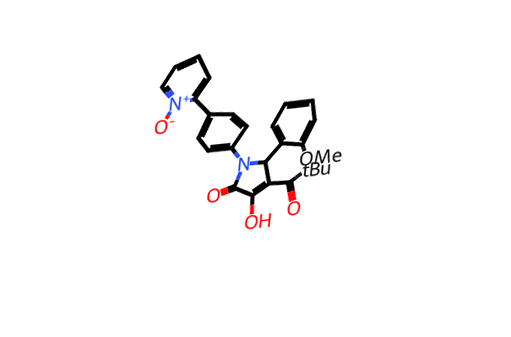 COc1ccccc1C1C(C(=O)C(C)(C)C)=C(O)C(=O)N1c1ccc(-c2cccc[n+]2[O-])cc1